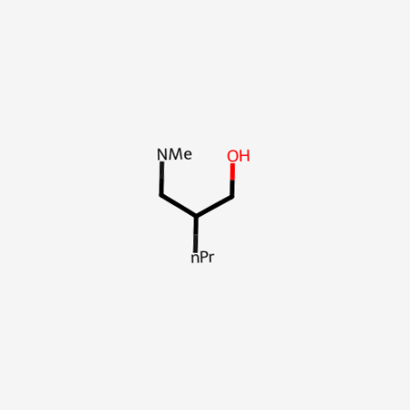 CCCC(CO)CNC